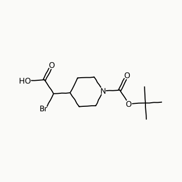 CC(C)(C)OC(=O)N1CCC(C(Br)C(=O)O)CC1